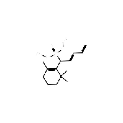 C=C/C=C/C(C1=C(C)CCCC1(C)C)P(=O)(OC(C)C)OC(C)C